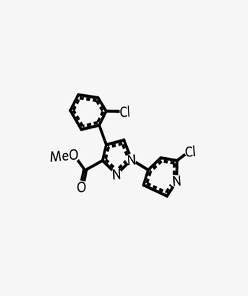 COC(=O)c1nn(-c2ccnc(Cl)c2)cc1-c1ccccc1Cl